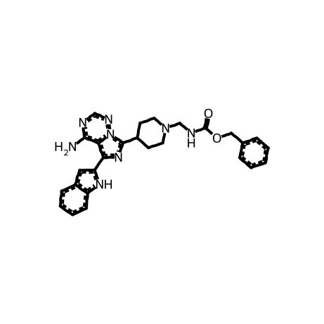 Nc1ncnn2c(C3CCN(CNC(=O)OCc4ccccc4)CC3)nc(-c3cc4ccccc4[nH]3)c12